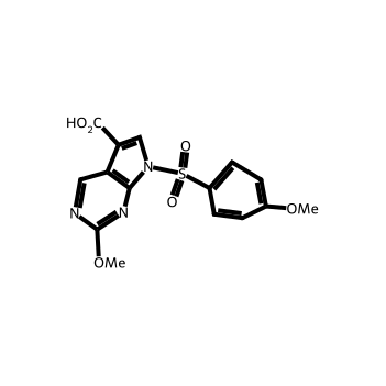 COc1ccc(S(=O)(=O)n2cc(C(=O)O)c3cnc(OC)nc32)cc1